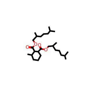 CC(C)CCCC(C)COC(=O)C1CCCC(C)C1C(=O)OCC(C)CCCC(C)C